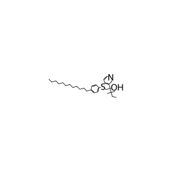 CCCCCCCCCCCCc1ccc(SCC(O)(c2cccnc2)C(C)(C)CC)cc1